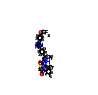 CCCc1ccc(C)cc1N1C(=O)CS/C1=N\C(=O)N/C=C(\C#N)c1ccc(-c2ncn(-c3ccc(OC(F)(F)F)cc3)n2)cc1